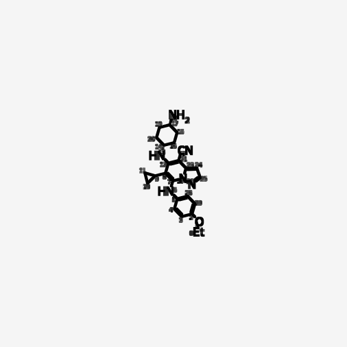 CCOc1ccc(Nc2c(C3CC3)c(N[C@H]3CC[C@H](N)CC3)c(C#N)c3ccnn23)cc1